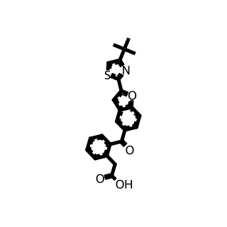 CC(C)(C)c1csc(-c2cc3cc(C(=O)c4ccccc4CC(=O)O)ccc3o2)n1